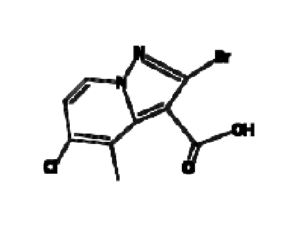 Cc1c(Cl)ccn2nc(Br)c(C(=O)O)c12